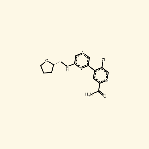 NC(=O)c1cc(-c2cncc(NC[C@@H]3CCCO3)n2)c(Cl)cn1